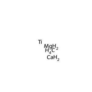 C.[CaH2].[MgH2].[Ti]